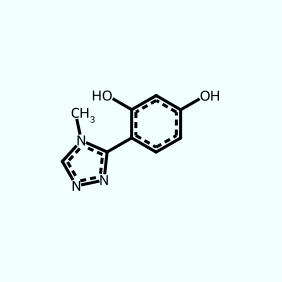 Cn1cnnc1-c1ccc(O)cc1O